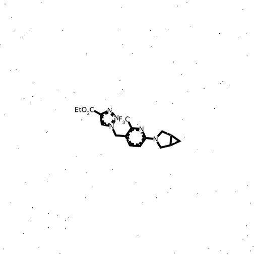 CCOC(=O)c1cn(Cc2ccc(N3CC4CC4C3)nc2C(F)(F)F)nn1